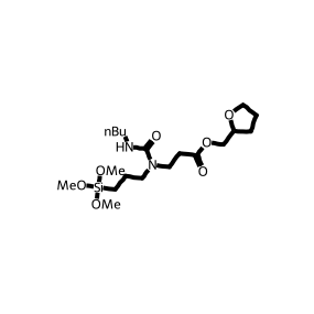 CCCCNC(=O)N(CCC[Si](OC)(OC)OC)CCC(=O)OCC1CCCO1